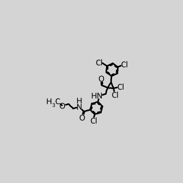 COCCNC(=O)c1cc(NCC2(C=O)C(c3cc(Cl)cc(Cl)c3)C2(Cl)Cl)ccc1Cl